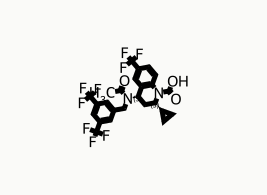 CC(=O)N(Cc1cc(C(F)(F)F)cc(C(F)(F)F)c1)[C@H]1C[C@@H](C2CC2)N(C(=O)O)c2ccc(C(F)(F)F)cc21